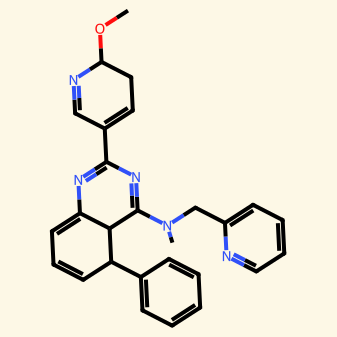 COC1CC=C(C2=NC3=CC=CC(c4ccccc4)C3C(N(C)Cc3ccccn3)=N2)C=N1